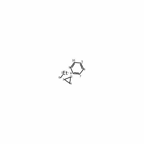 C[CH]C.[CH]1CC1.[c]1ccccc1